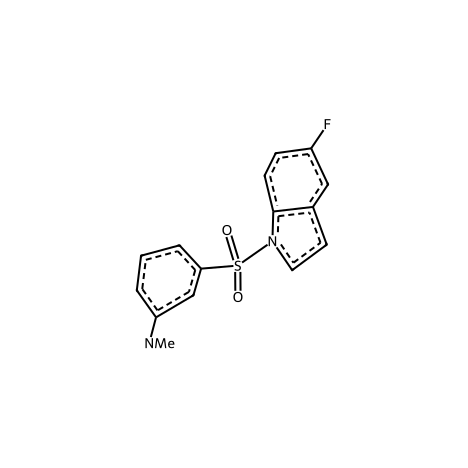 CNc1cccc(S(=O)(=O)n2ccc3cc(F)ccc32)c1